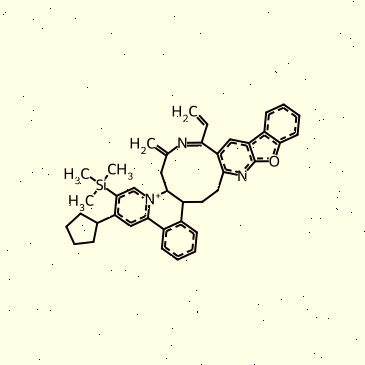 C=C/C1=N/C(=C)CC2C(CCc3nc4oc5ccccc5c4cc31)c1ccccc1-c1cc(C3CCCC3)c([Si](C)(C)C)c[n+]12